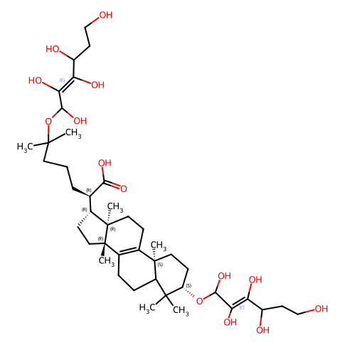 CC(C)(CCC[C@@H](C(=O)O)[C@H]1CC[C@@]2(C)C3=C(CC[C@]12C)[C@@]1(C)CC[C@H](OC(O)/C(O)=C(\O)C(O)CCO)C(C)(C)C1CC3)OC(O)/C(O)=C(\O)C(O)CCO